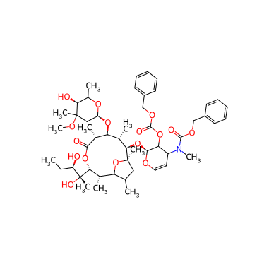 CC[C@@H](O)[C@@](C)(O)[C@@H]1OC(=O)[C@H](C)[C@@H](O[C@H]2CC(C)(OC)[C@@H](O)C(C)O2)[C@H](C)[C@@H](O[C@@H]2OC=CC(N(C)C(=O)OCc3ccccc3)C2OC(=O)OCc2ccccc2)[C@@]2(C)CC(C)C(O2)[C@@H]1C